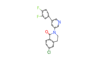 O=C1c2ccc(Cl)cc2CCN1c1cncc(-c2ccc(F)c(F)c2)c1